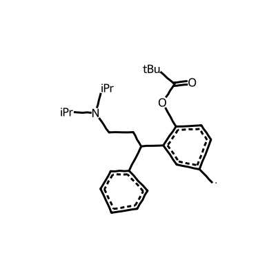 [CH2]c1ccc(OC(=O)C(C)(C)C)c(C(CCN(C(C)C)C(C)C)c2ccccc2)c1